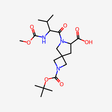 COC(=O)NC(C(=O)N1CC2(CC1C(=O)O)CN(C(=O)OC(C)(C)C)C2)C(C)C